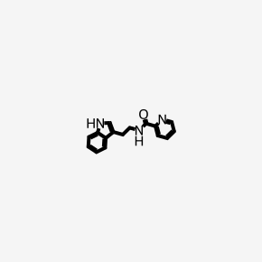 O=C(NCCc1c[nH]c2ccccc12)c1ccccn1